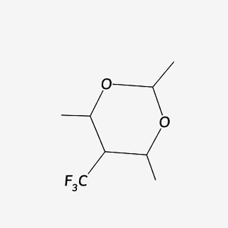 CC1OC(C)C(C(F)(F)F)C(C)O1